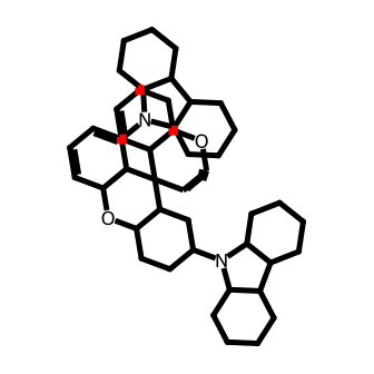 C1=CC2OC3CCC(N4C5CCCCC5C5CCCCC54)CC3C3(C4CCCC=C4OC4CCC=CC43)C2C(N2C3CCCCC3C3CCCCC32)=C1